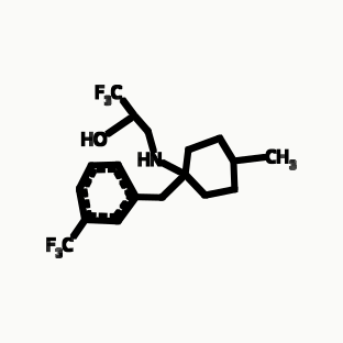 CC1CCC(Cc2cccc(C(F)(F)F)c2)(NCC(O)C(F)(F)F)CC1